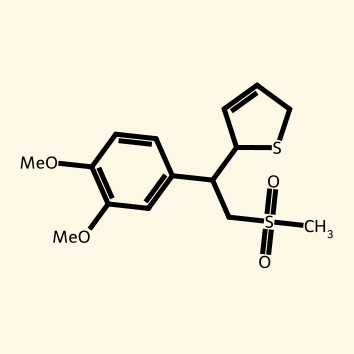 COc1ccc(C(CS(C)(=O)=O)C2C=CCS2)cc1OC